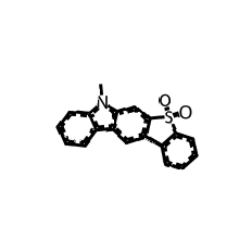 Cn1c2ccccc2c2cc3c(cc21)S(=O)(=O)c1ccccc1-3